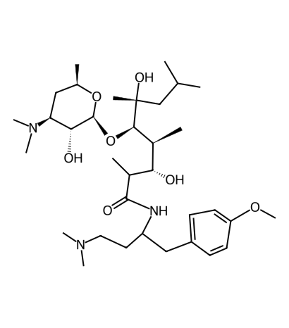 COc1ccc(CC(CCN(C)C)NC(=O)C(C)[C@@H](O)[C@H](C)[C@@H](O[C@@H]2O[C@H](C)C[C@H](N(C)C)[C@H]2O)[C@](C)(O)CC(C)C)cc1